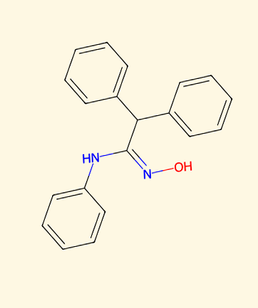 ON=C(Nc1ccccc1)C(c1ccccc1)c1ccccc1